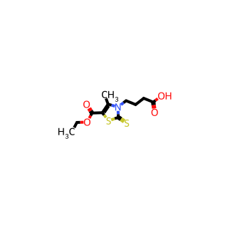 CCOC(=O)c1sc(=S)n(CCCC(=O)O)c1C